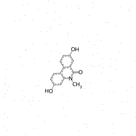 Cn1c(=O)c2cc(O)ccc2c2ccc(O)cc21